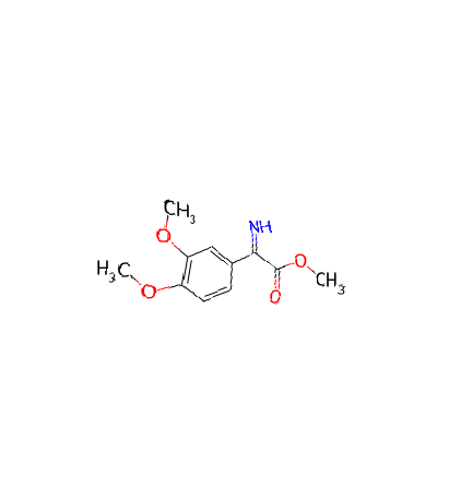 COC(=O)C(=N)c1ccc(OC)c(OC)c1